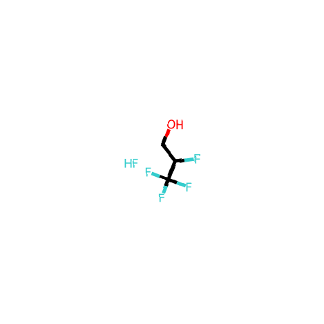 F.OCC(F)C(F)(F)F